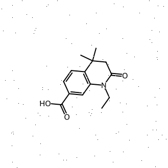 CCN1C(=O)CC(C)(C)c2ccc(C(=O)O)cc21